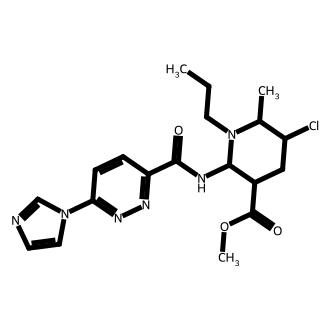 CCCN1C(C)C(Cl)CC(C(=O)OC)C1NC(=O)c1ccc(-n2ccnc2)nn1